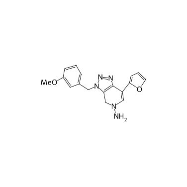 COc1cccc(Cn2nnc3c2CN(N)C=C3c2ccco2)c1